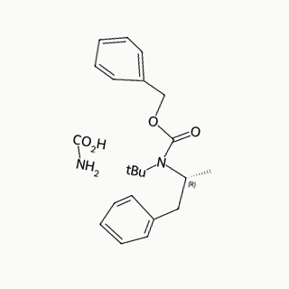 C[C@H](Cc1ccccc1)N(C(=O)OCc1ccccc1)C(C)(C)C.NC(=O)O